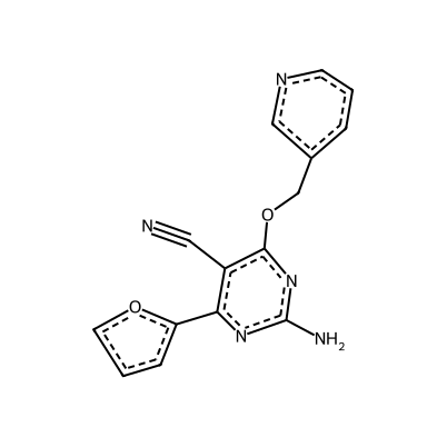 N#Cc1c(OCc2cccnc2)nc(N)nc1-c1ccco1